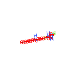 CCN(CC)c1ccc(NC(=O)c2cccc(CSCCOCCOCCOCCOCCC(=O)NCCOCCOCCOCCOCCOCCOCCOCCOC)c2)c(-c2cc(C(=O)NCc3cccc(C(F)(F)F)c3)ccn2)c1